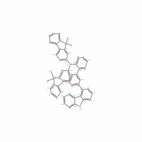 CC1(C)c2ccccc2-c2ccc(N(c3ccc4c(c3)C(C)(C)c3ccccc3-4)c3ccccc3-c3cccc(-c4cccc5oc6ccccc6c45)c3)cc21